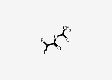 O=C(OC(Cl)C(F)(F)F)C(F)F